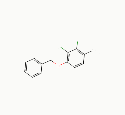 O=[N+]([O-])c1ccc(OCc2ccccc2)c(Cl)c1F